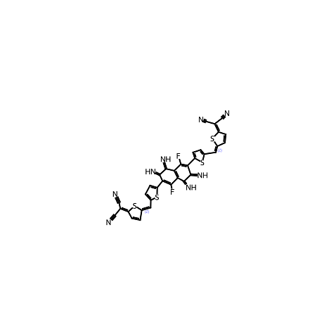 N#CC(C#N)=c1cc/c(=C/c2ccc(-c3c(F)c4c(=N)c(=N)c(-c5ccc(/C=c6/ccc(=C(C#N)C#N)s6)s5)c(F)c=4c(=N)c3=N)s2)s1